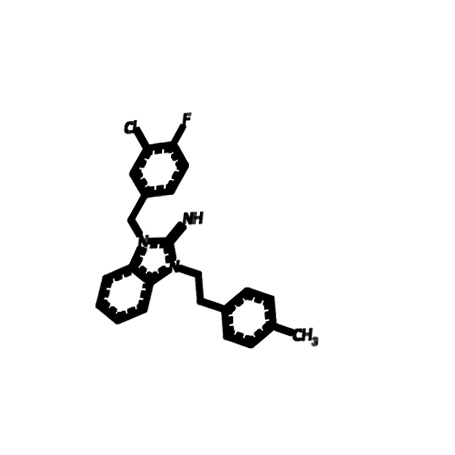 Cc1ccc(CCn2c(=N)n(Cc3ccc(F)c(Cl)c3)c3ccccc32)cc1